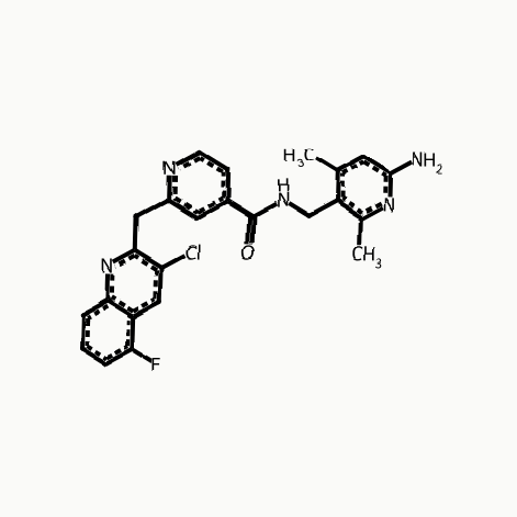 Cc1cc(N)nc(C)c1CNC(=O)c1ccnc(Cc2nc3cccc(F)c3cc2Cl)c1